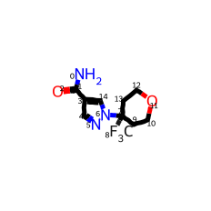 NC(=O)c1cnn(C2(C(F)(F)F)CCOCC2)c1